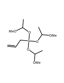 C=CC[Si](OC(C)OC)(OC(C)OC)OC(C)OC